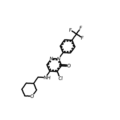 O=c1c(Cl)c(NCC2CCCOC2)cnn1-c1ccc(C(F)(F)F)cc1